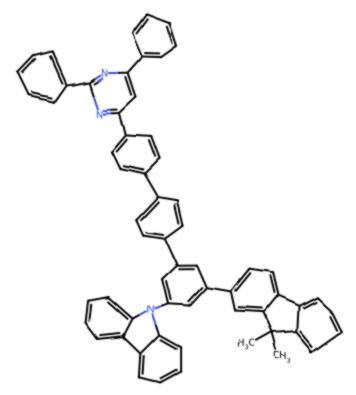 CC1(C)c2ccccc2-c2ccc(-c3cc(-c4ccc(-c5ccc(-c6cc(-c7ccccc7)nc(-c7ccccc7)n6)cc5)cc4)cc(-n4c5ccccc5c5ccccc54)c3)cc21